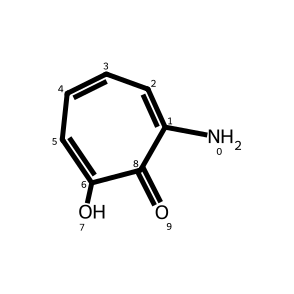 Nc1ccccc(O)c1=O